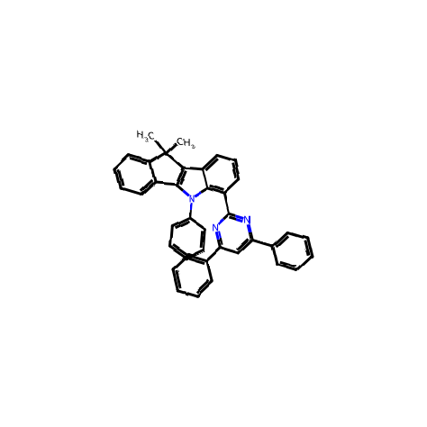 CC1(C)c2ccccc2-c2c1c1cccc(-c3nc(-c4ccccc4)cc(-c4ccccc4)n3)c1n2-c1ccccc1